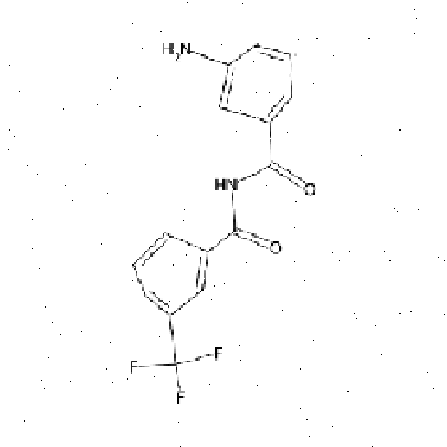 Nc1c[c]cc(C(=O)NC(=O)c2cccc(C(F)(F)F)c2)c1